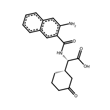 Nc1cc2ccccc2cc1C(=O)N[C@H](C(=O)O)[C@H]1CCCC(=O)C1